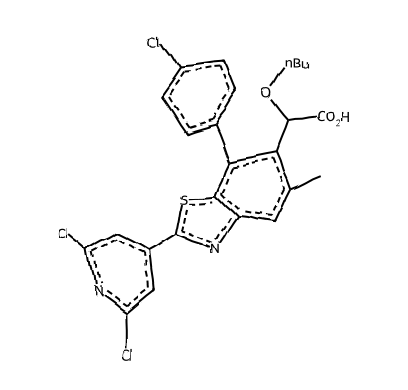 CCCCOC(C(=O)O)c1c(C)cc2nc(-c3cc(Cl)nc(Cl)c3)sc2c1-c1ccc(Cl)cc1